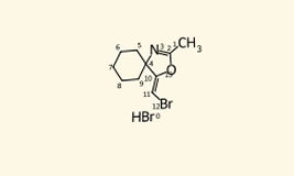 Br.CC1=NC2(CCCCC2)C(=CBr)O1